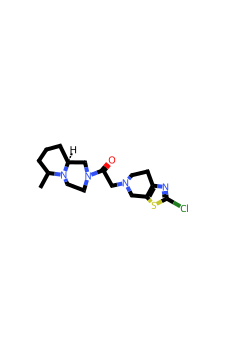 CC1CCC[C@H]2CN(C(=O)CN3CCc4nc(Cl)sc4C3)CCN12